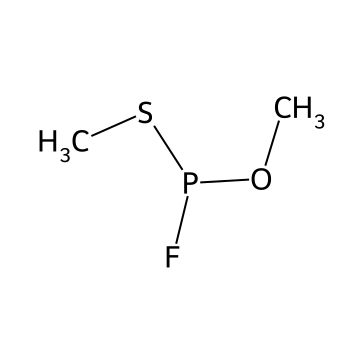 COP(F)SC